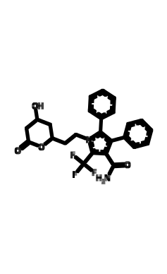 NC(=O)c1c(-c2ccccc2)c(-c2ccccc2)n(CCC2CC(O)CC(=O)O2)c1C(F)(F)F